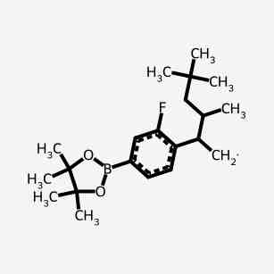 [CH2]C(c1ccc(B2OC(C)(C)C(C)(C)O2)cc1F)C(C)CC(C)(C)C